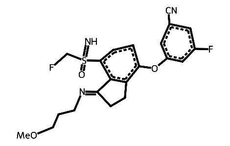 COCCC/N=C1\CCc2c(Oc3cc(F)cc(C#N)c3)ccc(S(=N)(=O)CF)c21